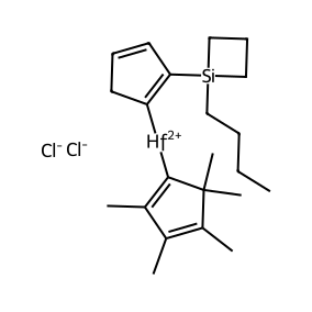 CCCC[Si]1(C2=[C]([Hf+2][C]3=C(C)C(C)=C(C)C3(C)C)CC=C2)CCC1.[Cl-].[Cl-]